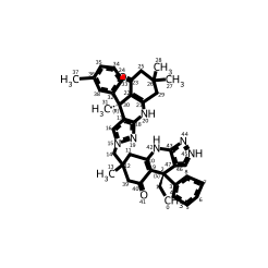 CC[C@@]1(c2ccccc2)C2=C(CC(C)(Cn3cc4c(n3)NC3=C(C(=O)CC(C)(C)C3)[C@]4(C)c3cccc(C)c3)CC2=O)Nc2n[nH]cc21